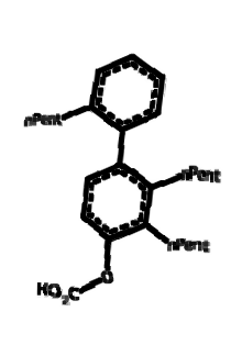 CCCCCc1ccccc1-c1ccc(OC(=O)O)c(CCCCC)c1CCCCC